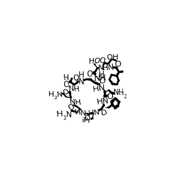 CC(C)C[C@@H]1NC(=O)[C@@H](Cc2ccccc2)NC(=O)[C@H](CCN)NC(=O)[C@@H](NC(=O)[C@@H](CO)NC(=O)C(NC(=O)C(C)C2CCCCC2)C(C)O)CCNC(=O)C(C(C)O)NC(=O)[C@H](CCN)NC(=O)[C@H](CCN)NC1=O